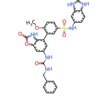 COc1ccc(S(=O)(=O)Nc2ccc3[nH]c(=O)[nH]c3c2)cc1-c1cc(NC(=O)NCc2ccccc2)cc2oc(=O)[nH]c12